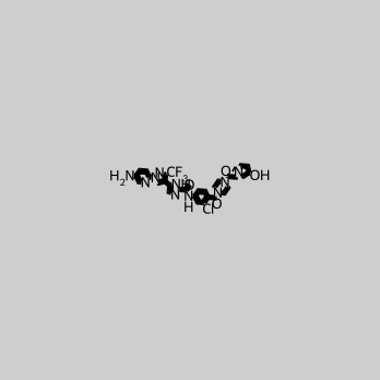 C[N+]1(CC(=O)N2CCN(C(=O)c3ccc(NC(=O)c4ncc(-c5cn(-c6ccc(N)cn6)nc5C(F)(F)F)[nH]4)cc3Cl)CC2)CCC(O)C1